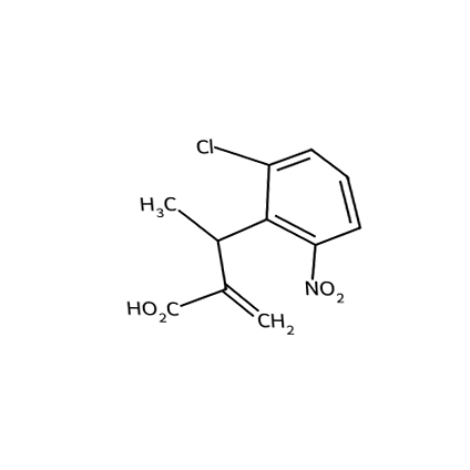 C=C(C(=O)O)C(C)c1c(Cl)cccc1[N+](=O)[O-]